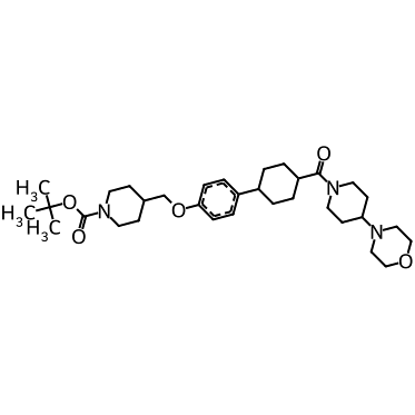 CC(C)(C)OC(=O)N1CCC(COc2ccc(C3CCC(C(=O)N4CCC(N5CCOCC5)CC4)CC3)cc2)CC1